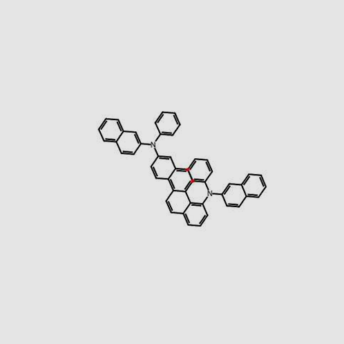 c1ccc(N(c2ccc3ccccc3c2)c2ccc3c(ccc4c3ccc3cccc(N(c5ccccc5)c5ccc6ccccc6c5)c34)c2)cc1